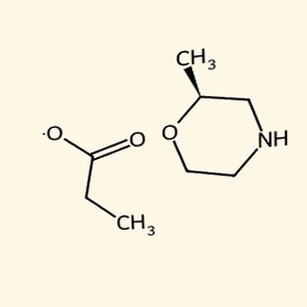 CCC([O])=O.C[C@H]1CNCCO1